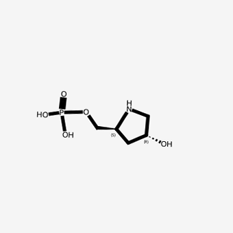 O=P(O)(O)OC[C@@H]1C[C@@H](O)CN1